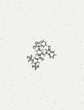 O=C(O)[C@H](c1ccccc1)N1CCN(C(=O)c2cc(C(F)(F)F)cc(C(F)(F)F)c2)[C@H](Cc2c[nH]c3ccccc23)C1